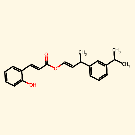 CC(C)c1cccc(C(C)C=COC(=O)C=Cc2ccccc2O)c1